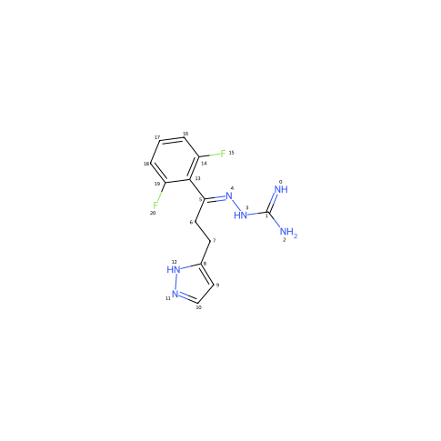 N=C(N)NN=C(CCc1ccn[nH]1)c1c(F)cccc1F